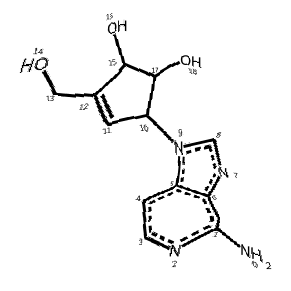 Nc1nccc2c1ncn2C1C=C(CO)C(O)C1O